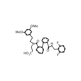 COc1cc(CCN(CCC(=O)O)C(=O)c2ccccc2-c2ccccc2C(=O)NCc2c(F)cccc2F)cc(OC)c1